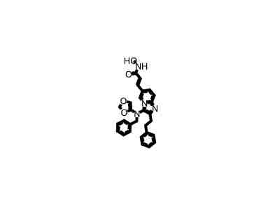 O=C(C=Cc1ccc2nc(CCc3ccccc3)c(N(Cc3ccccc3)C3=COCO3)n2c1)NO